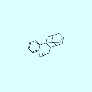 NCC1C2CC3CC(C2)CC1(c1ccccc1)C3